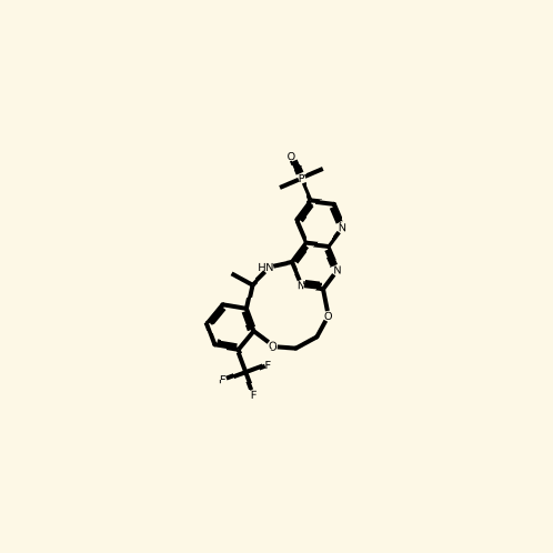 CC1Nc2nc(nc3ncc(P(C)(C)=O)cc23)OCCOc2c1cccc2C(F)(F)F